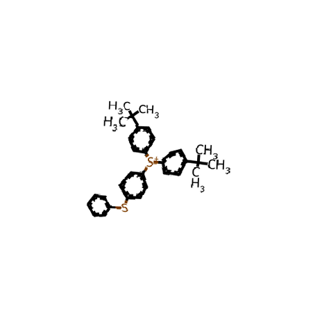 CC(C)(C)c1ccc([S+](c2ccc(Sc3ccccc3)cc2)c2ccc(C(C)(C)C)cc2)cc1